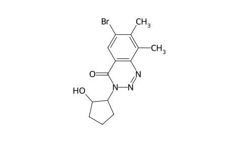 Cc1c(Br)cc2c(=O)n(C3CCCC3O)nnc2c1C